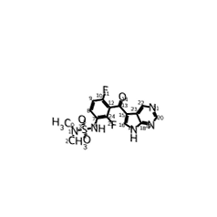 CN(C)S(=O)(=O)Nc1ccc(F)c(C(=O)c2c[nH]c3ncncc23)c1F